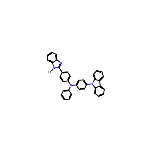 CCn1c(-c2ccc(N(c3ccccc3)c3ccc(-n4c5ccccc5c5ccccc54)cc3)cc2)nc2ccccc21